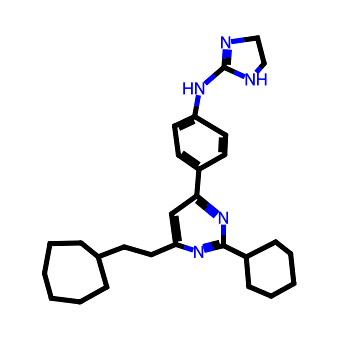 c1cc(-c2cc(CCC3CCCCCC3)nc(C3CCCCC3)n2)ccc1NC1=NCCN1